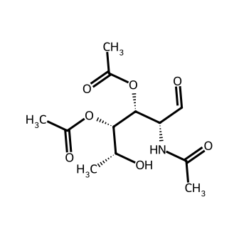 CC(=O)N[C@@H](C=O)[C@@H](OC(C)=O)[C@@H](OC(C)=O)[C@@H](C)O